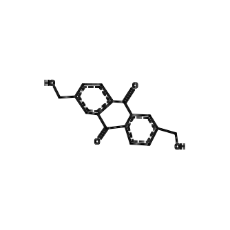 O=C1c2ccc(CO)cc2C(=O)c2ccc(CO)cc21